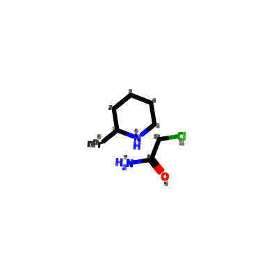 CCCC1CCCCN1.NC(=O)CCl